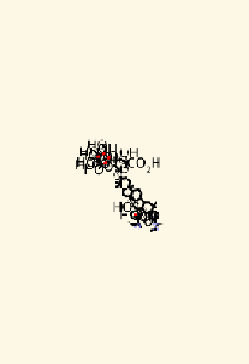 C/C=C(/C)C(=O)O[C@H]1[C@H](OC(=O)/C(C)=C\C)[C@@]2(CO)C(CC1(C)C)C1=CCC3[C@@]4(C)CC[C@H](O[C@@H]5OC(C(=O)O)[C@@H](O)[C@@H](O[C@@H]6O[C@@H](CO)[C@@H](O)C6O)C5O[C@@H]5OC(CO)[C@H](O)[C@@H](O)C5O)C(C)(C)C4CC[C@@]3(C)[C@@]1(C)[C@@H](O)[C@H]2O